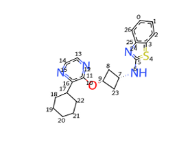 c1ccc2sc(N[C@H]3C[C@@H](Oc4nccnc4C4CCCCC4)C3)nc2c1